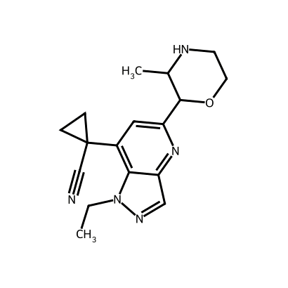 CCn1ncc2nc(C3OCCNC3C)cc(C3(C#N)CC3)c21